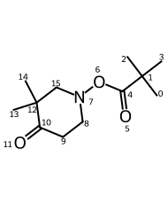 CC(C)(C)C(=O)ON1CCC(=O)C(C)(C)C1